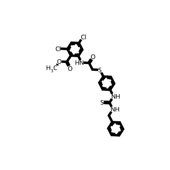 COC(=O)c1c(Cl)cc(Cl)cc1NC(=O)CSc1ccc(NC(=S)NCc2ccccc2)cc1